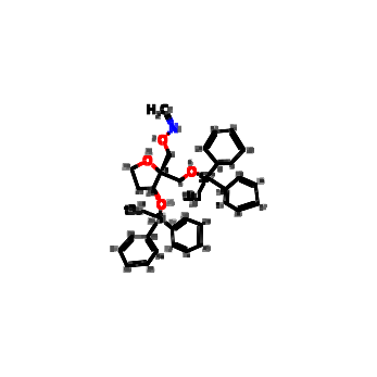 C=NOC[C@]1(CO[Si](c2ccccc2)(c2ccccc2)C(C)(C)C)OCC[C@@H]1O[Si](c1ccccc1)(c1ccccc1)C(C)(C)C